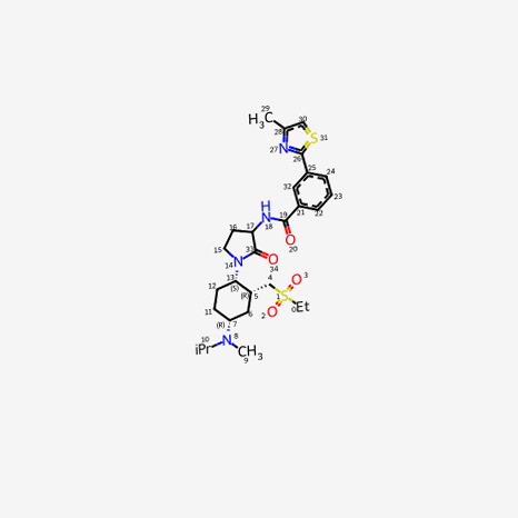 CCS(=O)(=O)C[C@@H]1C[C@H](N(C)C(C)C)CC[C@@H]1N1CCC(NC(=O)c2cccc(-c3nc(C)cs3)c2)C1=O